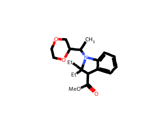 CCC1(CC)C(C(=O)OC)c2ccccc2N1C(C)C1COCCO1